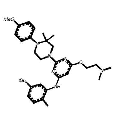 COc1ccc(N2CCN(c3nc(Nc4cc(C(C)(C)C)ccc4C)cc(OCCN(C)C)n3)CC2(C)C)cc1